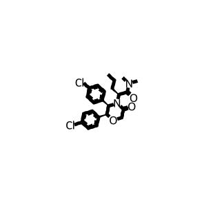 CCC[C@@H](C(=O)N(C)C)N1C(=O)CO[C@@H](c2ccc(Cl)cc2)[C@H]1c1ccc(Cl)cc1